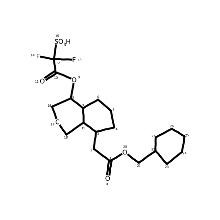 O=C(CC1CCCC2C(OC(=O)C(F)(F)S(=O)(=O)O)CCCC12)OCC1CCCCC1